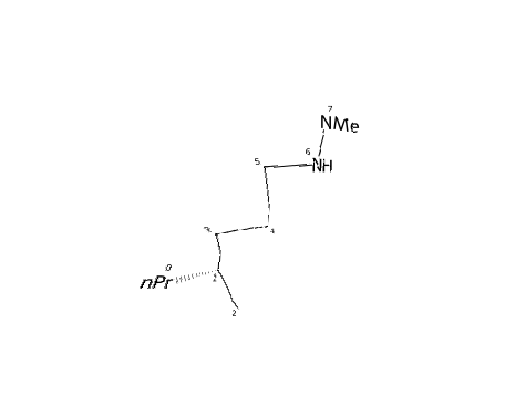 CCC[C@@H](C)CCCNNC